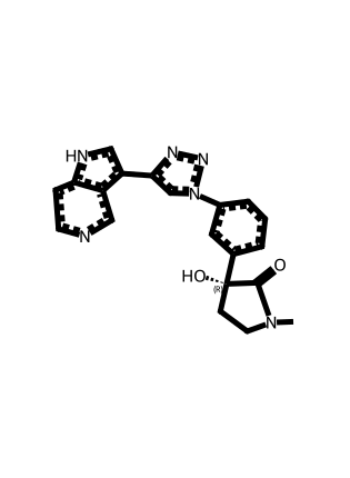 CN1CC[C@@](O)(c2cccc(-n3cc(-c4c[nH]c5ccncc45)nn3)c2)C1=O